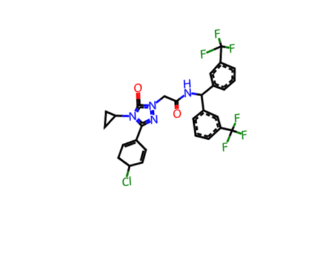 O=C(Cn1nc(C2=CCC(Cl)C=C2)n(C2CC2)c1=O)NC(c1cccc(C(F)(F)F)c1)c1cccc(C(F)(F)F)c1